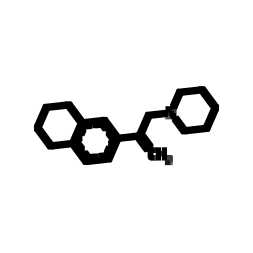 C=C(CN1CCCCC1)c1ccc2c(c1)CCCC2